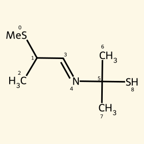 CSC(C)/C=N/C(C)(C)S